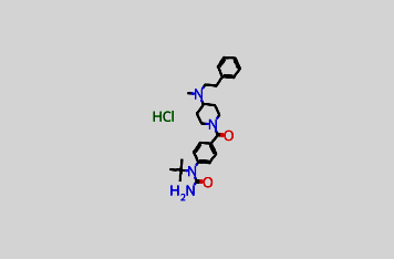 CN(CCc1ccccc1)C1CCN(C(=O)c2ccc(N(C(N)=O)C(C)(C)C)cc2)CC1.Cl